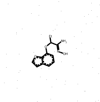 CCC(Oc1cccc2ccoc12)C(N)=NO